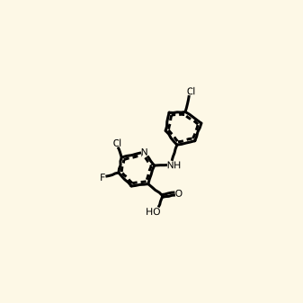 O=C(O)c1cc(F)c(Cl)nc1Nc1ccc(Cl)cc1